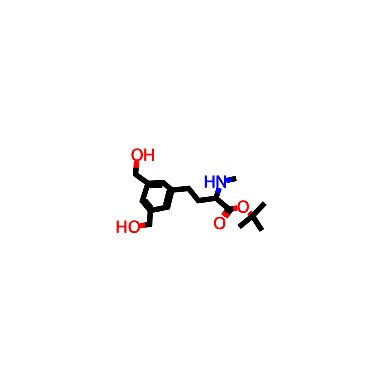 CNC(CCc1cc(CO)cc(CO)c1)C(=O)OC(C)(C)C